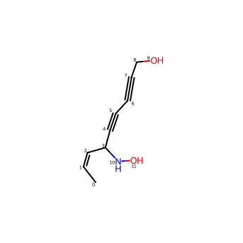 C/C=C\C(C#CC#CCO)NO